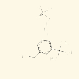 CCc1cccc(C(C)(C)C)c1.O=P([O-])([O-])[O-].[Li+].[Li+].[Li+]